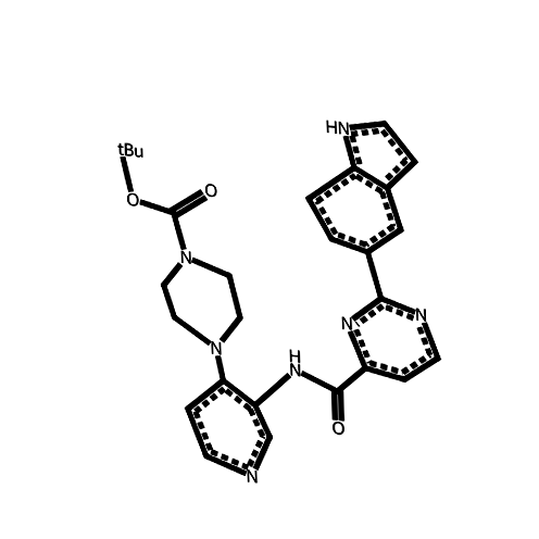 CC(C)(C)OC(=O)N1CCN(c2ccncc2NC(=O)c2ccnc(-c3ccc4[nH]ccc4c3)n2)CC1